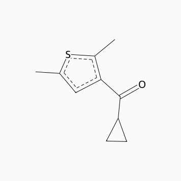 Cc1cc(C(=O)C2CC2)c(C)s1